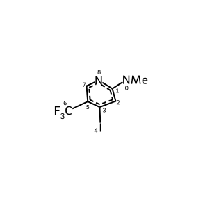 CNc1cc(I)c(C(F)(F)F)cn1